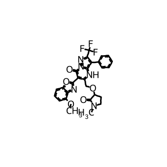 COc1cccc2oc(-c3c(COC4CCN(C)C4=O)[nH]c4c(-c5ccccc5)c(C(F)(F)F)nn4c3=O)nc12